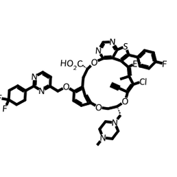 C#C/C1=C(Cl)\C(C)=C(/CC)c2c(-c3ccc(F)cc3)sc3ncnc(c23)O[C@@H](C(=O)O)Cc2cc(ccc2OCc2ccnc(C3=CCC(F)(F)CC3)n2)OC[C@@H](CN2CCN(C)CC2)O1